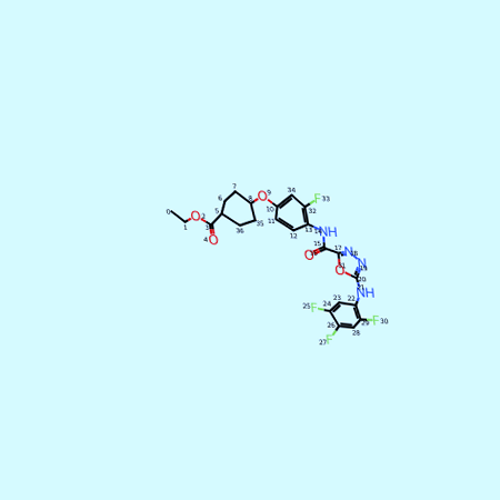 CCOC(=O)C1CCC(Oc2ccc(NC(=O)c3nnc(Nc4cc(F)c(F)cc4F)o3)c(F)c2)CC1